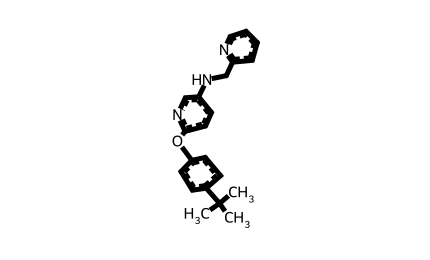 CC(C)(C)c1ccc(Oc2ccc(NCc3ccccn3)cn2)cc1